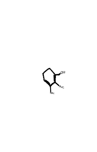 CCCCC1=CCCC(O)=C1C(C)=O